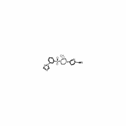 C[C@@H]1CN(c2ccc(C#N)nc2)CCN1S(=O)(=O)c1cccc(-n2cncn2)c1